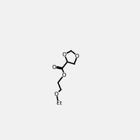 CCOCCOC(=O)C1COCO1